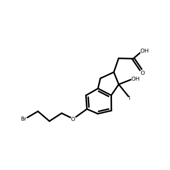 O=C(O)CC1Cc2cc(OCCCBr)ccc2C1(O)I